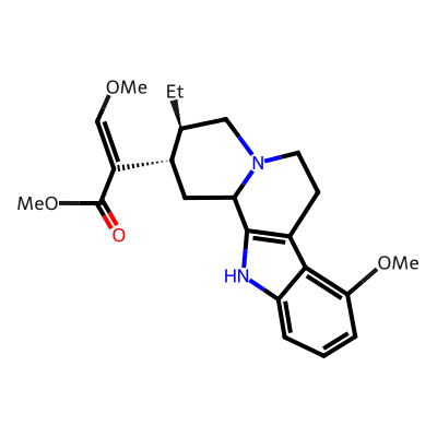 CC[C@H]1CN2CCc3c([nH]c4cccc(OC)c34)C2C[C@@H]1/C(=C\OC)C(=O)OC